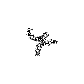 CC(=O)N1CCN(c2ccc(CN(C(=O)/C=C/c3ccc(C(C)C)cc3)[C@@H](Cc3ccccc3)C(=O)N3CCN(Cc4ccc(N(C)CCO)cc4)CC3)cc2)CC1